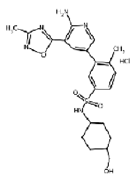 Cc1noc(-c2cc(-c3cc(S(=O)(=O)NC4CCC(CO)CC4)ccc3C)cnc2N)n1.Cl